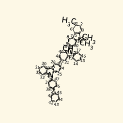 CC1C=CC2=C(C1)c1ccc(N(c3ccccc3)C3(C)C=CC(c4ccc5c(c4)c4ccccc4n5-c4ccc(-c5ccccc5)cc4)=CC3)cc1C2(C)C